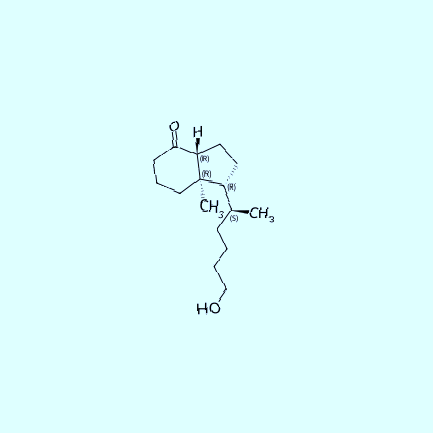 C[C@@H](CCCCO)[C@H]1CC[C@H]2C(=O)CCC[C@]12C